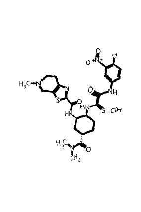 CN1CCc2nc(C(=O)N[C@@H]3C[C@@H](C(=O)N(C)C)CC[C@@H]3NC(=S)C(=O)Nc3ccc(Cl)c([N+](=O)[O-])c3)sc2C1.Cl